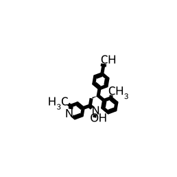 C#Cc1ccc([C@@H](C/C(=N/O)c2ccnc(C)c2)c2ccccc2C)cc1